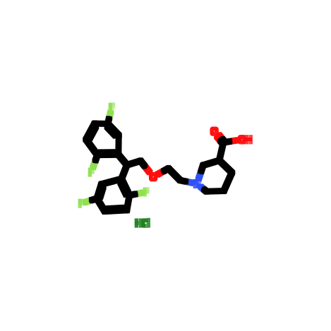 Cl.O=C(O)C1CCCN(CCOCC(c2cc(F)ccc2F)c2cc(F)ccc2F)C1